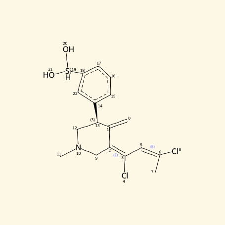 C=C1/C(=C(Cl)\C=C(/C)Cl)CN(C)C[C@H]1c1cccc([SiH](O)O)c1